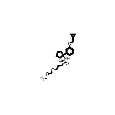 COCOCCCS(=O)(=O)NC1(c2cccc(OCC3CC3)c2)CCCC1